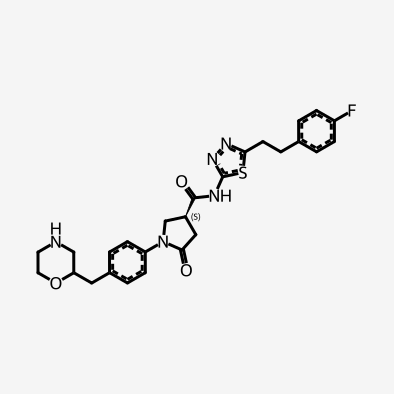 O=C(Nc1nnc(CCc2ccc(F)cc2)s1)[C@H]1CC(=O)N(c2ccc(CC3CNCCO3)cc2)C1